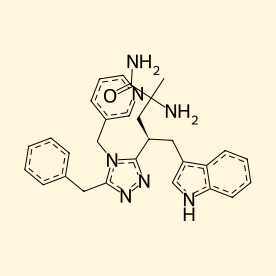 CC(N)(C[C@@H](Cc1c[nH]c2ccccc12)c1nnc(Cc2ccccc2)n1Cc1cccnc1)C(N)=O